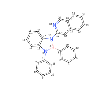 c1ccc(B2N(c3ccccc3)c3ccccc3N2c2cc3ccccc3cn2)cc1